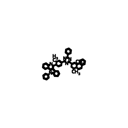 CC1C=C(c2nc(C3=CC4(C)c5ccccc5C=CC4C(C)C3)nc(-c3ccccc3)n2)C=CC1c1nc2ccccc2c2c1c1ccccc1n2-c1ccccc1